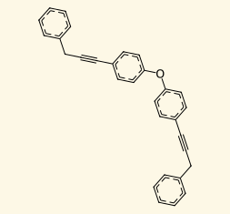 C(#Cc1ccc(Oc2ccc(C#CCc3ccccc3)cc2)cc1)Cc1ccccc1